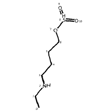 CCNCCCCO[SH](=O)=O